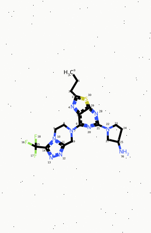 CCCc1nc2c(N3CCn4c(nnc4C(F)(F)F)C3)nc(N3CCC(N)C3)nc2s1